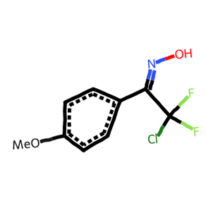 COc1ccc(/C(=N/O)C(F)(F)Cl)cc1